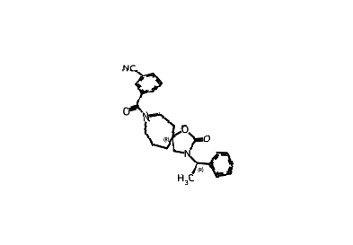 C[C@H](c1ccccc1)N1C[C@]2(CCCN(C(=O)c3cccc(C#N)c3)CC2)OC1=O